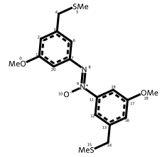 COc1cc(CSC)cc(N=[N+]([O-])c2cc(CSC)cc(OC)c2)c1